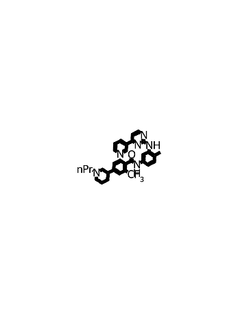 CCCN1CCCC(c2ccc(C(=O)Nc3ccc(C)c(Nc4nccc(-c5cccnc5)n4)c3)c(C(F)(F)F)c2)C1